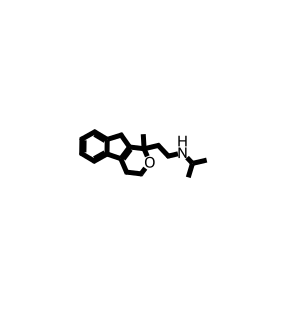 CC(C)NCCC1(C)OCCC2=C1Cc1ccccc12